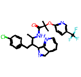 CC(NC(=O)C(C)(C)Oc1ccc(C(F)(F)F)cn1)C(Cc1ccc(Cl)cc1)C1N=Cc2cccnc21